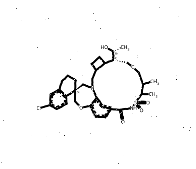 CC1CCC[C@@H]([C@@H](C)O)C2CCC2CN2C[C@@]3(CCCc4cc(Cl)ccc43)COc3ccc(cc32)C(=O)NS(=O)(=O)C1C